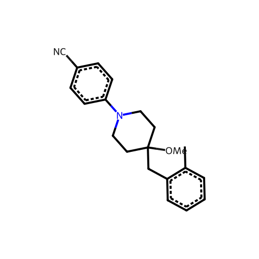 COC1(Cc2ccccc2C)CCN(c2ccc(C#N)cc2)CC1